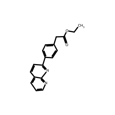 CCOC(=O)Cc1ccc(-c2ccc3cccnc3n2)cc1